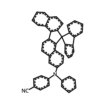 N#Cc1ccc(N(c2ccccc2)c2ccc3c4c(ccc3c2)-c2c(ccc3ccccc23)C42c3ccccc3-c3ccccc32)cc1